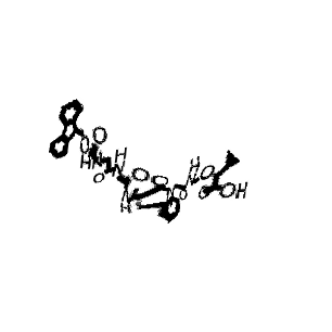 O=C(CNC(=O)OCC1c2ccccc2-c2ccccc21)NCC(=O)N[C@@H](Cc1ccccc1)C(=O)NCC(=O)NCO[C@@H](C(=O)O)C1CC1